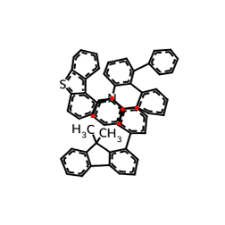 CC1(C)c2ccccc2-c2cccc(-c3cccc(N(c4cccc(-c5ccccc5)c4-c4ccccc4-c4ccccc4)c4cccc5sc6ccccc6c45)c3)c21